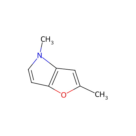 Cc1cc2c(ccn2C)o1